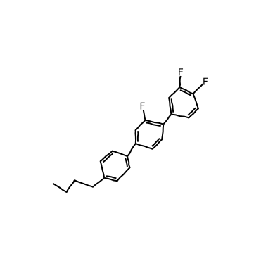 CCCCc1ccc(-c2ccc(-c3ccc(F)c(F)c3)c(F)c2)cc1